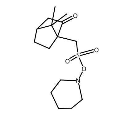 CC1(C)C2CCC1(CS(=O)(=O)ON1CCCCC1)C(=O)C2